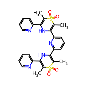 CC1=C(c2ccccn2)NC(c2cccc(C3=C(C)S(=O)(=O)C(C)=C(c4ccccn4)N3)n2)=C(C)S1(=O)=O